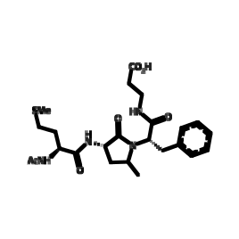 CSCC[C@H](NC(C)=O)C(=O)N[C@H]1CC(C)N([C@@H](Cc2ccccc2)C(=O)NCCC(=O)O)C1=O